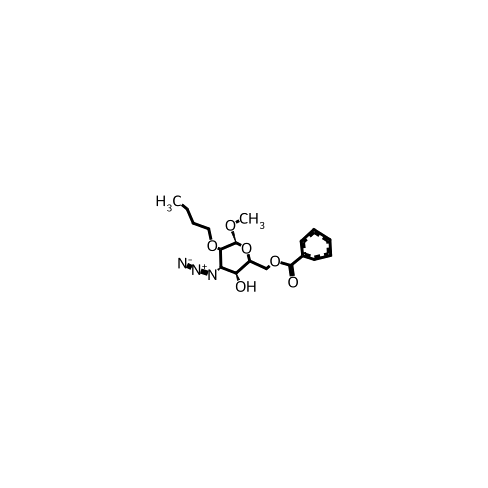 CCCCOC1[C@@H](OC)OC(COC(=O)c2ccccc2)[C@@H](O)[C@@H]1N=[N+]=[N-]